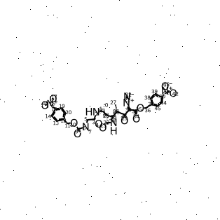 C[C@@H](NC(=O)CN(C)C(=O)OCc1ccc([N+](=O)[O-])cc1)[C@H]1C(=O)N[C@@H]1[C@@H](C)C(=O)C(=[N+]=[N-])C(=O)OCc1ccc([N+](=O)[O-])cc1